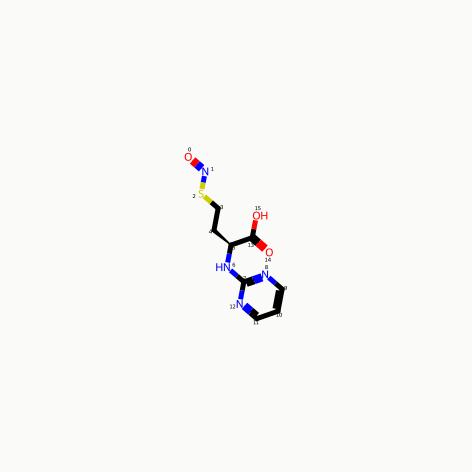 O=NSCC[C@H](Nc1ncccn1)C(=O)O